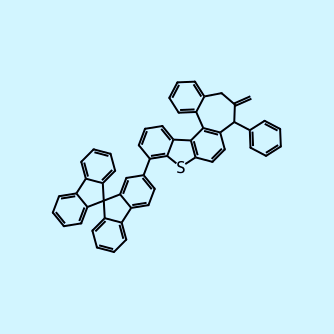 C=C1Cc2ccccc2-c2c(ccc3sc4c(-c5ccc6c(c5)C5(c7ccccc7-c7ccccc75)c5ccccc5-6)cccc4c23)C1c1ccccc1